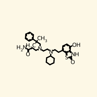 CC(C)(CN(CCC(N)=O)CCN(CCc1ccc(O)c2[nH]c(=O)sc12)C1CCCCC1)c1ccccc1